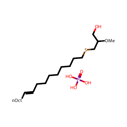 CCCCCCCCC=CCCCCCCCCSCC(CO)OC.O=P(O)(O)O